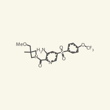 COCC1(C)CN(C(=O)c2ncc(S(=O)(=O)c3ccc(OC(F)(F)F)cc3)cc2N)C1